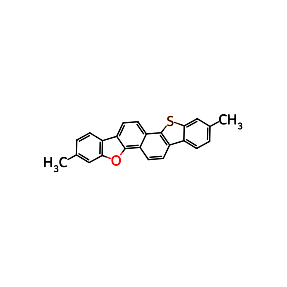 Cc1ccc2c(c1)oc1c2ccc2c1ccc1c3ccc(C)cc3sc12